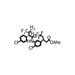 COC(=O)CC(CC(C)(F)F)c1ccc(Cl)c(NC(=O)[C@H](c2ccc(Cl)cc2)[C@H](C)C(F)(F)F)c1